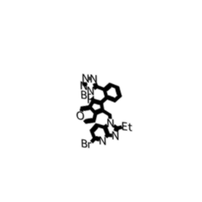 CCc1nc2nc(Br)ccc2n1Cc1c2ccocc-2c(Br)c1-c1ccccc1-c1nnn[nH]1